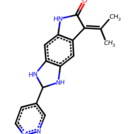 CC(C)=C1C(=O)Nc2cc3c(cc21)NC(c1ccnnc1)N3